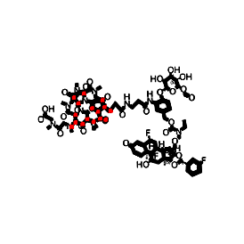 CCN(COCC(=O)[C@@]12O[C@H](c3cccc(F)c3)O[C@@H]1C[C@H]1[C@@H]3C[C@H](F)C4=CC(=O)C=C[C@]4(C)[C@@]3(F)[C@@H](O)C[C@@]12C)C(=O)OCc1ccc(O[C@@H]2O[C@H](OC=O)[C@@H](O)[C@H](O)[C@H]2O)c(NC(=O)CCNC(=O)CCc2ccc(N3C(=O)C=CC3=O)cc2C(=O)N(C)CC(=O)N(C)CC(=O)N(C)CC(=O)N(C)CC(=O)N(C)CC(=O)N(C)CC(=O)N(C)CC(=O)N(C)CC(=O)N(C)CC(=O)N(C)CC(=O)O)c1